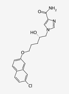 NC(=O)c1cn(C[C@@H](O)CCCOc2ccc3ccc(Cl)cc3c2)cn1